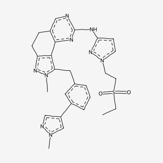 CCS(=O)(=O)CCn1ccc(Nc2ncc3c(n2)-c2c(nn(C)c2Cc2cccc(-c4cnn(C)c4)c2)CC3)n1